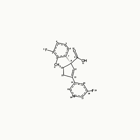 Cc1c(F)cccc1[C@]1(C(=O)O)C=C(c2cncc(F)c2)CC1